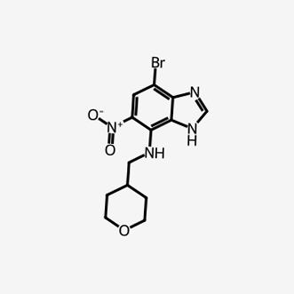 O=[N+]([O-])c1cc(Br)c2nc[nH]c2c1NCC1CCOCC1